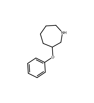 c1ccc(OC2CCCCNC2)cc1